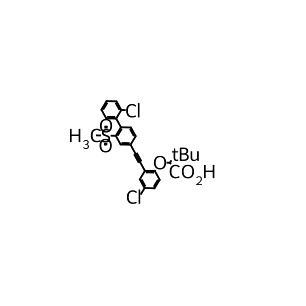 CC(C)(C)C(Oc1ccc(Cl)cc1C#Cc1ccc(-c2ccccc2Cl)c(S(C)(=O)=O)c1)C(=O)O